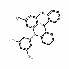 Cc1cc(C)cc(P(c2cc(C)cc(C)c2)c2ccccc2C(=O)c2ccccc2)c1